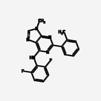 Cc1ccccc1-c1nc(Nc2c(F)cccc2F)c2ncn(C)c2n1